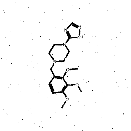 COc1ccc(CN2CCN(c3ncn[nH]3)CC2)c(OC)c1OC